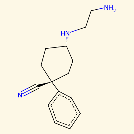 N#C[C@]1(c2ccccc2)CC[C@@H](NCCN)CC1